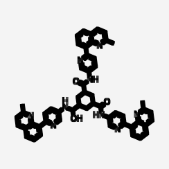 Cc1ccc2cccc(-c3ccc(NC(=O)C4CC(C(=O)Nc5ccc(-c6cccc7ccc(C)nc67)nc5)CC(C(O)Nc5ccc(-c6cccc7ccc(C)nc67)nc5)C4)cn3)c2n1